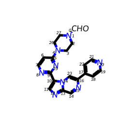 O=CN1CCN(c2ccnc(-c3cnc4cnc(-c5ccncc5)cn34)n2)CC1